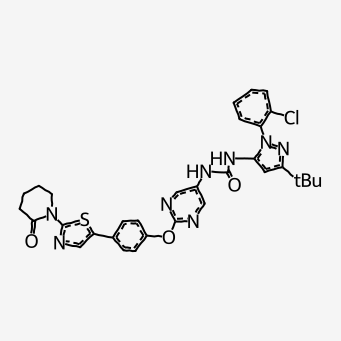 CC(C)(C)c1cc(NC(=O)Nc2cnc(Oc3ccc(-c4cnc(N5CCCCC5=O)s4)cc3)nc2)n(-c2ccccc2Cl)n1